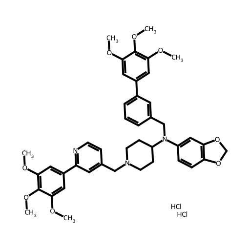 COc1cc(-c2cccc(CN(c3ccc4c(c3)OCO4)C3CCN(Cc4ccnc(-c5cc(OC)c(OC)c(OC)c5)c4)CC3)c2)cc(OC)c1OC.Cl.Cl